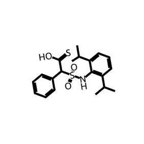 CC(C)c1cccc(C(C)C)c1NS(=O)(=O)C(C(O)=S)c1ccccc1